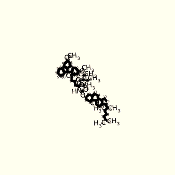 COc1ccc(C(OCCC(CCNC(=O)OC2CC[C@@]3(C)C(=CCC4C3CC[C@@]3(C)C4CC[C@@H]3[C@H](C)CCCC(C)C)C2)OP(OC)N(C(C)C)C(C)C)(c2ccccc2)c2ccc(OC)cc2)cc1